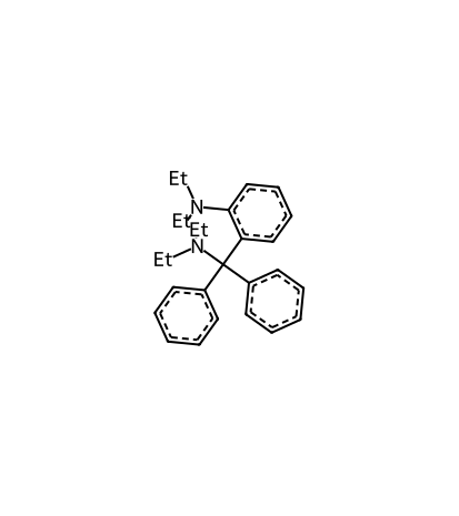 CCN(CC)c1ccccc1C(c1ccccc1)(c1ccccc1)N(CC)CC